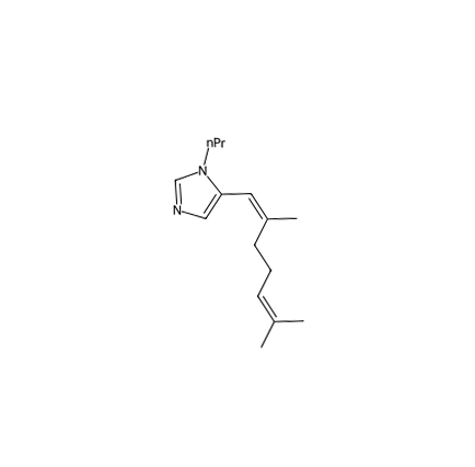 CCCn1cncc1C=C(C)CCC=C(C)C